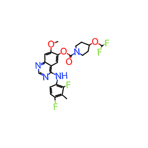 COc1cc2ncnc(Nc3ccc(F)c(C)c3F)c2cc1OC(=O)N1CCC(OC(F)F)CC1